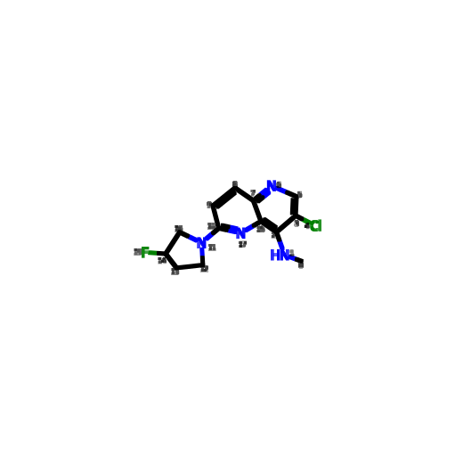 CNc1c(Cl)cnc2ccc(N3CCC(F)C3)nc12